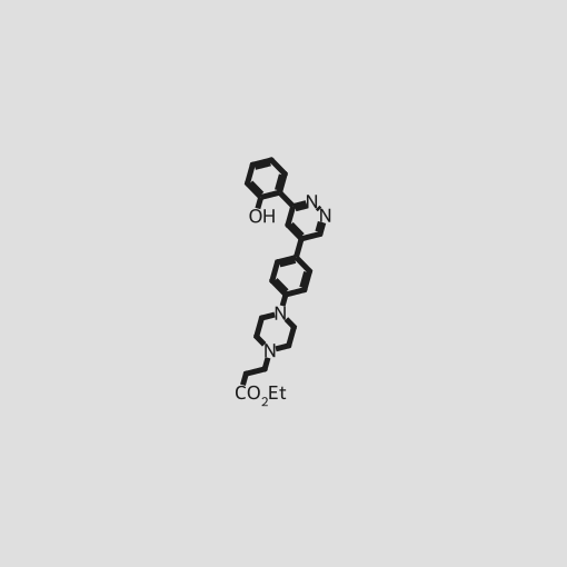 CCOC(=O)CCN1CCN(c2ccc(-c3cnnc(-c4ccccc4O)c3)cc2)CC1